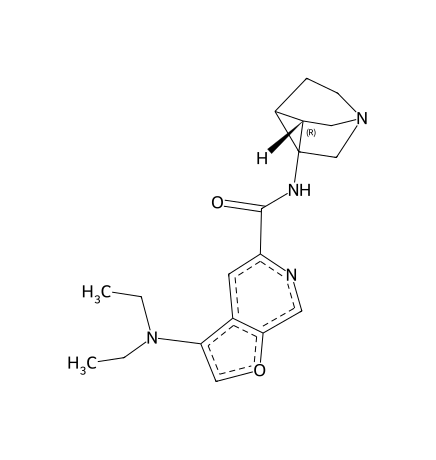 CCN(CC)c1coc2cnc(C(=O)N[C@H]3CN4CCC3CC4)cc12